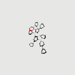 c1ccc(-c2ccc(N3c4ccccc4B4c5cc(-c6ccccc6)c(-c6ccccc6)c(-c6ccccc6)c5N(c5ccccc5)c5cc(-c6ccccc6)cc3c54)cc2)cc1